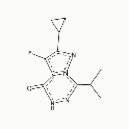 CC(C)c1n[nH]c(=O)c2c(F)c(C3CC3)nn12